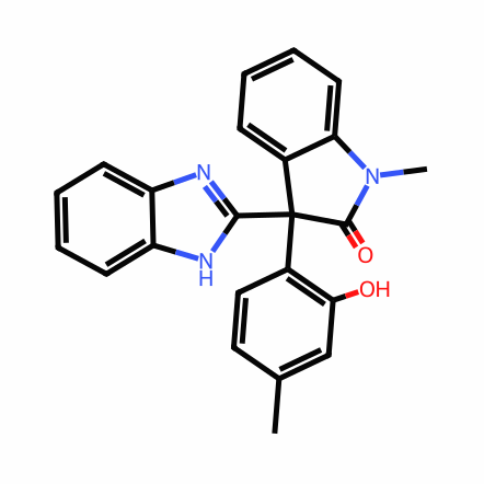 Cc1ccc(C2(c3nc4ccccc4[nH]3)C(=O)N(C)c3ccccc32)c(O)c1